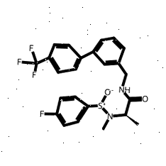 C[C@H](C(=O)NCc1cccc(-c2ccc(C(F)(F)F)cc2)c1)N(C)[S+]([O-])c1ccc(F)cc1